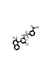 Cc1ccc2ccccc2c1-c1cc(Cl)nc(NS(=O)(=O)c2cccc(C(=O)O)c2)n1